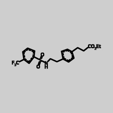 CCOC(=O)CCc1ccc(CCNS(=O)(=O)c2cccc(C(F)(F)F)c2)cc1